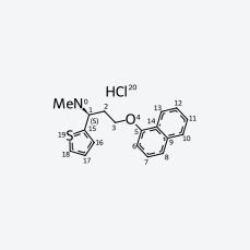 CN[C@@H](CCOc1cccc2ccccc12)c1cccs1.Cl